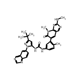 CNc1ncc2cc(-c3cc(NC(=O)Nc4cc(C(C)(C)C)nn4-c4ccc5ncncc5c4)ccc3C)c(=O)n(C)c2n1